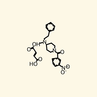 CN(CCc1ccccc1)C1CCN(C(=O)c2cccc([N+](=O)[O-])c2)CC1.O=C(O)/C=C/C(=O)O